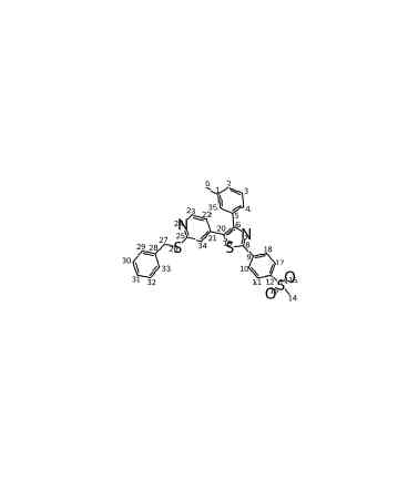 Cc1cccc(-c2nc(-c3ccc(S(C)(=O)=O)cc3)sc2-c2ccnc(SCc3ccccc3)c2)c1